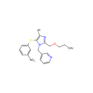 CC(=O)OCCOCc1nc(C(C)C)c(Sc2cccc([N+](=O)[O-])c2)n1Cc1cccnc1